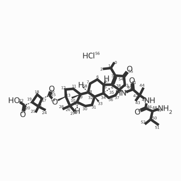 CC(C)C1=C2[C@H]3CC[C@@H]4[C@@]5(C)CC[C@H](OC(=O)[C@H]6C[C@@H](C(=O)O)C6(C)C)C(C)(C)[C@@H]5CC[C@@]4(C)[C@]3(C)CC[C@@]2(NC(=O)C(C)(C)NC(=O)C(N)C(C)C)CC1=O.Cl